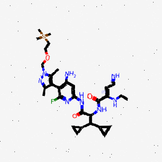 CCN/C(=C\C=N)C(=O)NC(C(=O)Nc1cc(N)c(-c2c(C)nn(COCCS(C)(C)C)c2C)c(F)n1)C(C1CC1)C1CC1